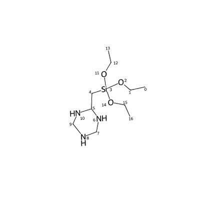 CCO[Si](CC1NCNCN1)(OCC)OCC